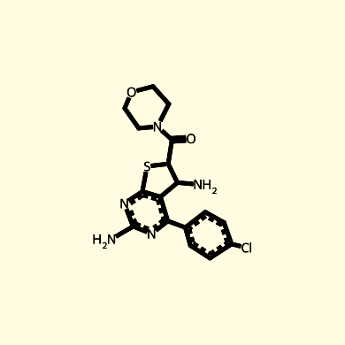 Nc1nc2c(c(-c3ccc(Cl)cc3)n1)C(N)C(C(=O)N1CCOCC1)S2